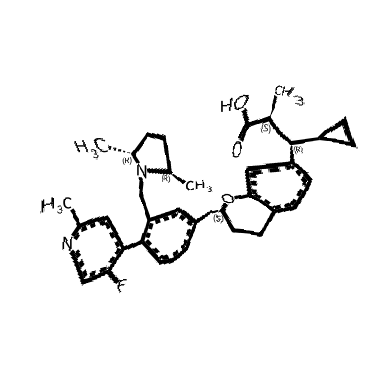 Cc1cc(-c2ccc([C@@H]3CCc4ccc([C@H](C5CC5)[C@H](C)C(=O)O)cc4O3)cc2CN2[C@H](C)CC[C@H]2C)c(F)cn1